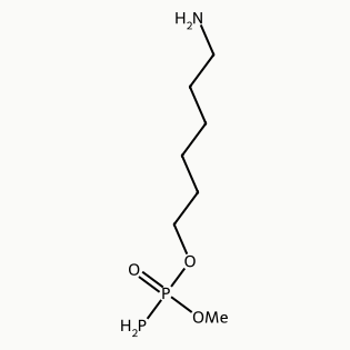 COP(=O)(P)OCCCCCCN